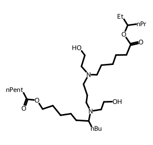 CCCCCC(=O)OCCCCCC(CCCC)N(CCO)CCCN(CCO)CCCCCC(=O)OC(CC)CCC